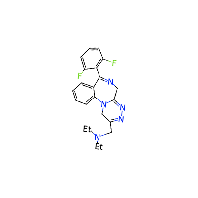 CCN(CC)CC1=NN=C2CN=C(c3c(F)cccc3F)c3ccccc3N2C1